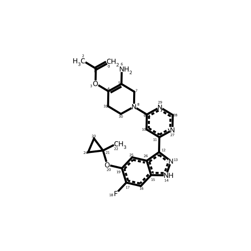 C=C(C)OC1=C(N)CN(c2cc(-c3n[nH]c4cc(F)c(OC5(C)CC5)cc34)ncn2)CC1